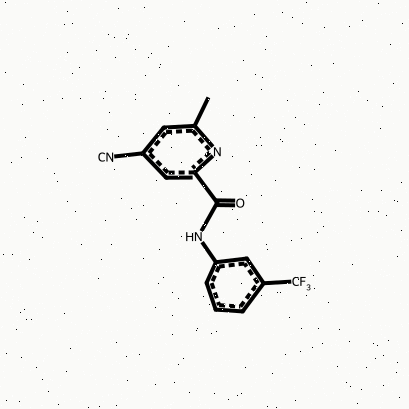 [C-]#[N+]c1cc(C)nc(C(=O)Nc2cccc(C(F)(F)F)c2)c1